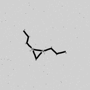 CCCN1CN1CCC